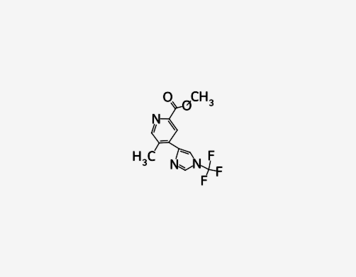 COC(=O)c1cc(-c2cn(C(F)(F)F)cn2)c(C)cn1